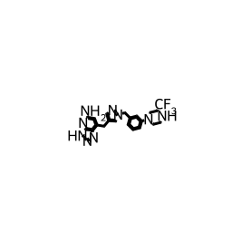 Nc1cc(Cc2cnn(Cc3cccc(N4CCNC(C(F)(F)F)C4)c3)c2)c2nn[nH]c2n1